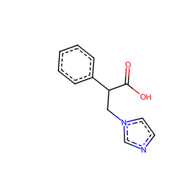 O=C(O)C(Cn1ccnc1)c1ccccc1